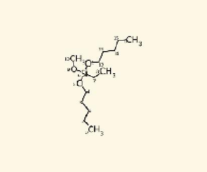 CCCCCO[Si](CC)(OC)OCCCCC